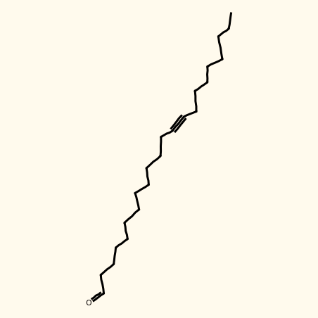 CCCCCCCCC#CCCCCCCCCCCCC=O